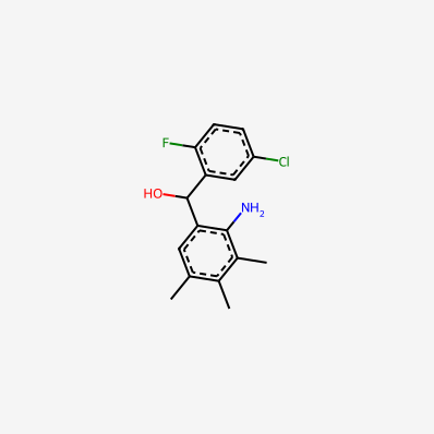 Cc1cc(C(O)c2cc(Cl)ccc2F)c(N)c(C)c1C